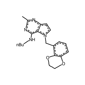 CCCCNc1nc(C)nc2ccn(Cc3cccc4c3OCCO4)c12